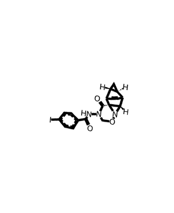 O=C(NN1CON2[C@H]3C4C=CC([C@@H]5C[C@@H]45)[C@@]32C1=O)c1ccc(I)cc1